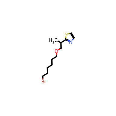 CC(COCCCCCCBr)c1nccs1